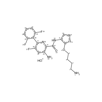 Cl.NCCCCOc1sncc1NC(=O)c1nc(-c2c(F)cccc2F)c(F)cc1N